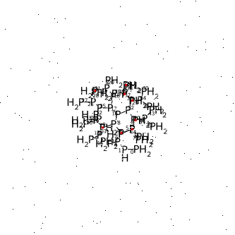 PPP(P)P(P(P)P)P(P(P(P)P)P(P)P)P(P(P(P(P)P)P(P)P)P(P(P)P)P(P)P)P(P(P(P)P)P(P)P)P(P(P)P)P(P)P